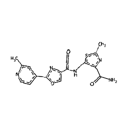 Cc1cc(-c2nc(C(=O)Nc3sc(C)nc3C(N)=O)co2)ccn1